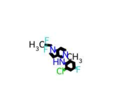 Cc1cc(F)cc(Cl)c1Nc1nccc2c1ccn2CC(C)(F)F